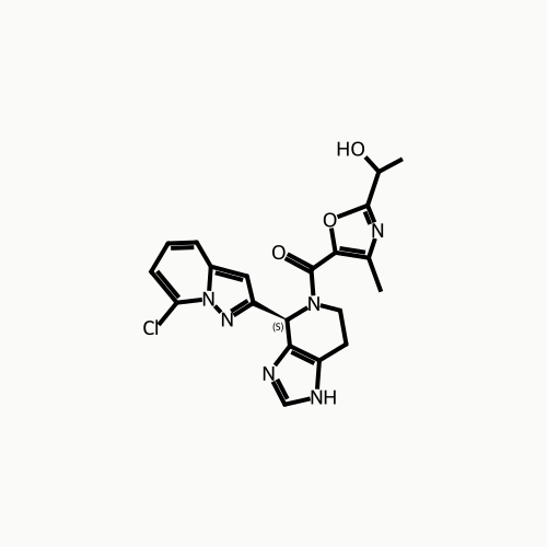 Cc1nc(C(C)O)oc1C(=O)N1CCc2[nH]cnc2[C@H]1c1cc2cccc(Cl)n2n1